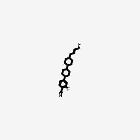 N#Cc1ccc(C2CCC(C3CCC(C/C=C/CF)CC3)CC2)cc1F